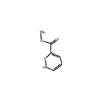 CC(C)(C)OC(=O)C1=CC=CNS1